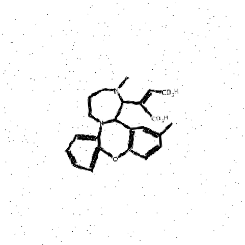 Cc1ccc2c(c1)C1C(C(=CC(=O)O)C(=O)O)N(C)CCCN1c1ccccc1O2